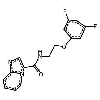 O=C(NCCOc1cc(F)cc(F)c1)c1cnc2ccccn12